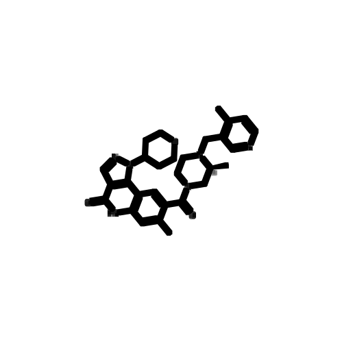 Cc1ccncc1CN1CCN(C(=O)c2cc3c(cc2C)[nH]c(=O)c2cnn(C4CCOCC4)c23)C[C@@H]1C